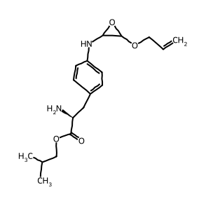 C=CCOC1OC1Nc1ccc(C[C@H](N)C(=O)OCC(C)C)cc1